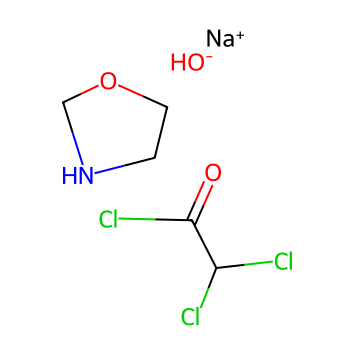 C1COCN1.O=C(Cl)C(Cl)Cl.[Na+].[OH-]